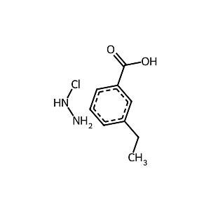 CCc1cccc(C(=O)O)c1.NNCl